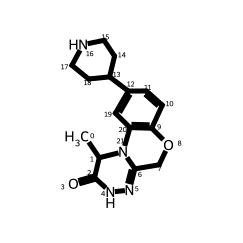 CC1C(=O)NN=C2COc3ccc(C4CCNCC4)cc3N21